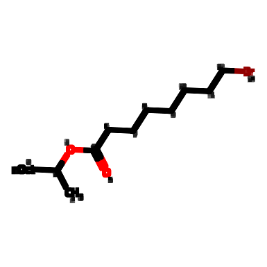 CCCCCCCCC(C)OC(=O)CCCCCCCBr